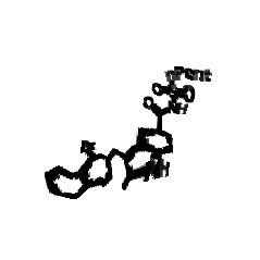 CCCCCS(=O)(=O)NC(=O)c1ccc2[nH]c(C)c(Cc3ccc4ccccc4c3Br)c2c1